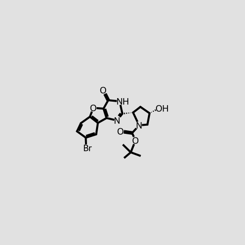 CC(C)(C)OC(=O)N1C[C@@H](O)C[C@H]1c1nc2c(oc3ccc(Br)cc32)c(=O)[nH]1